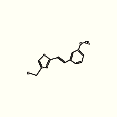 FC(F)(F)Oc1cccc(C=Cc2nc(CCl)co2)c1